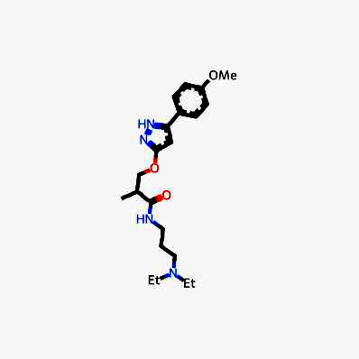 CCN(CC)CCCNC(=O)C(C)COc1cc(-c2ccc(OC)cc2)[nH]n1